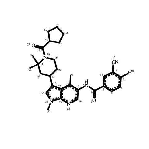 Cc1c(NC(=O)c2ccc(F)c(C#N)c2)cnc2c1c(C1CCN(C(=O)C3CCCC3)C(C)(C)C1)cn2C